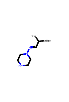 CCCCCCC(/C=N/N1CCNCC1)CCCC